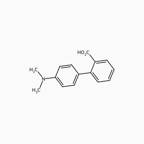 CN(C)c1ccc(-c2ccccc2C(=O)O)cc1